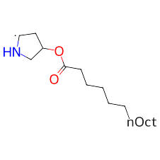 CCCCCCCCCCCCCC(=O)OC1C[CH]NC1